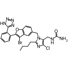 CCCCc1nc(Cl)c(CNC(N)=O)n1Cc1ccc2oc(-c3ccccc3-c3nnn[nH]3)c(Br)c2c1